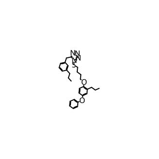 CCCc1cccc(Cc2nnnn2SCCCCOc2ccc(Oc3ccccc3)cc2CCC)c1